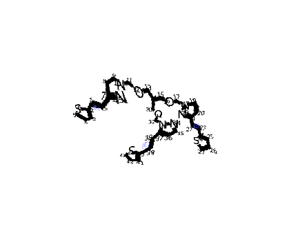 C(=C\c1cccs1)/c1ccn(COCC(COCn2ccc(/C=C/c3cccs3)n2)COCn2nccc2/C=C/c2cccs2)n1